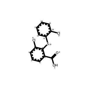 O=C(O)c1cccc(Cl)c1Sc1ccccc1Cl